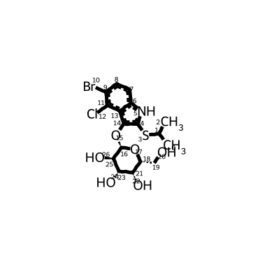 CC(C)Sc1[nH]c2ccc(Br)c(Cl)c2c1O[C@@H]1O[C@H](CO)[C@H](O)[C@H](O)[C@H]1O